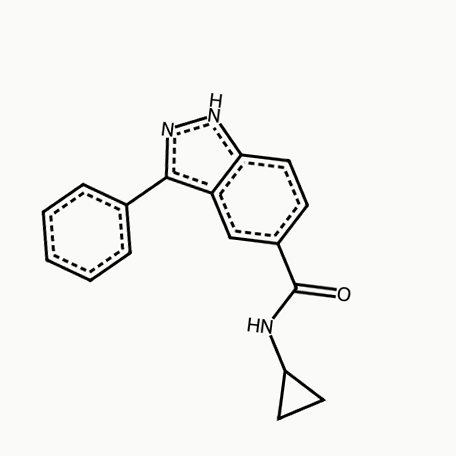 O=C(NC1CC1)c1ccc2[nH]nc(-c3ccccc3)c2c1